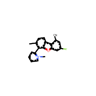 Cc1ccc2c(oc3cc(F)cc(C#N)c32)c1-c1cccc[n+]1C